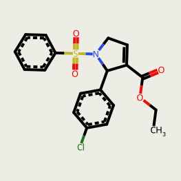 CCOC(=O)C1=CCN(S(=O)(=O)c2ccccc2)C1c1ccc(Cl)cc1